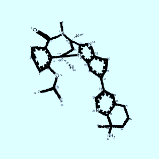 CN1C(=O)c2cccc(OC(F)F)c2[C@H]2C[C@@H]1c1nc3ccc(-c4cnc5c(c4)CCCC5(C)N)cc3n12